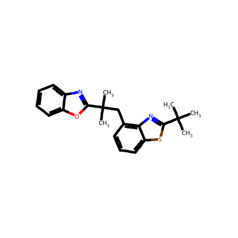 CC(C)(C)c1nc2c(CC(C)(C)c3nc4ccccc4o3)cccc2s1